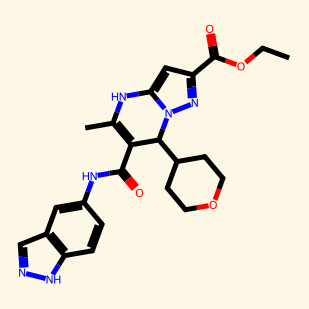 CCOC(=O)c1cc2n(n1)C(C1CCOCC1)C(C(=O)Nc1ccc3[nH]ncc3c1)=C(C)N2